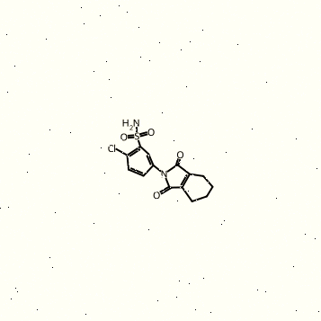 NS(=O)(=O)c1cc(N2C(=O)C3=C(CCCC3)C2=O)ccc1Cl